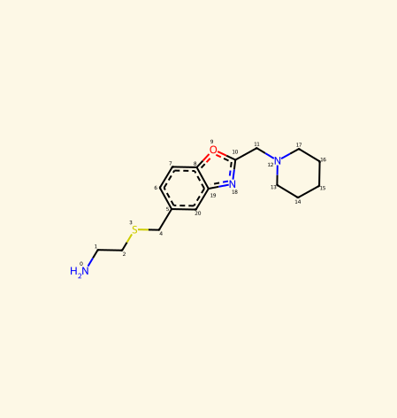 NCCSCc1ccc2oc(CN3CCCCC3)nc2c1